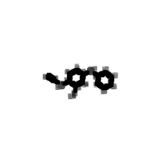 C#COc1ccc(Oc2ccccc2)cc1F